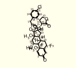 C[C@]12C=CC(=O)C=C1[C@@H](F)C[C@H]1[C@@H]3C[C@H]4CN(Cc5ccc(Cl)cc5)O[C@@]4(C(=O)SC4CCOC4=O)[C@@]3(C)C[C@H](O)[C@@]12F